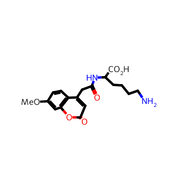 COc1ccc2c(CC(=O)NC(CCCCN)C(=O)O)cc(=O)oc2c1